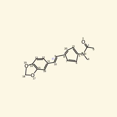 CC(=O)N(C)c1ccc(/C=C/c2ccc3c(c2)OCO3)cc1